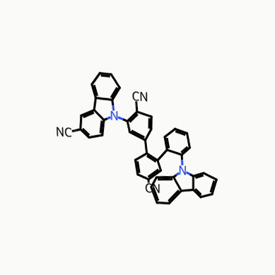 N#Cc1ccc(-c2ccc(C#N)c(-n3c4ccccc4c4cc(C#N)ccc43)c2)c(-c2ccccc2-n2c3ccccc3c3ccccc32)c1